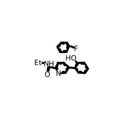 CCNC(=O)c1ccc(-c2ccccc2O)cn1.Fc1ccccc1